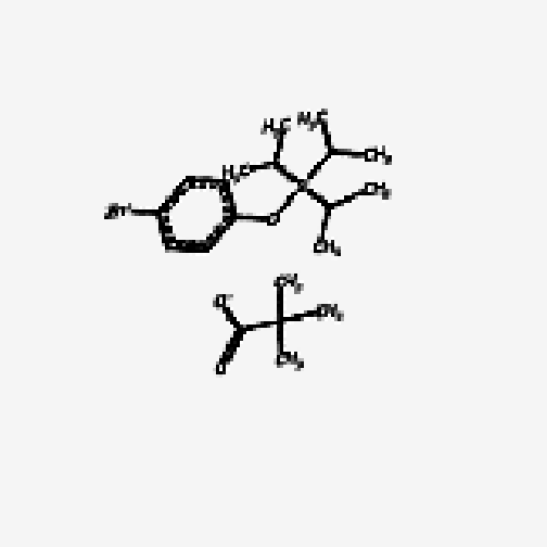 CC(C)(C)C(=O)[O-].CC(C)[Si](Oc1cc[c]([Zn+])cc1)(C(C)C)C(C)C